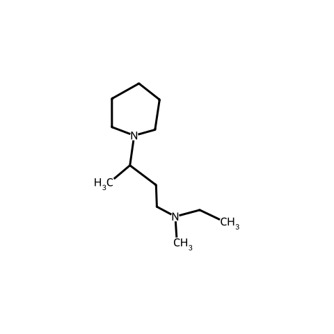 CCN(C)CCC(C)N1CCCCC1